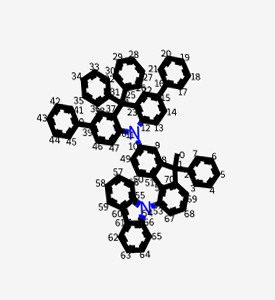 CC1(c2ccccc2)c2cc(N3c4ccc(-c5ccccc5)cc4C(c4ccccc4)(c4ccccc4)c4cc(-c5ccccc5)ccc43)ccc2-c2c(-n3c4ccccc4c4ccccc43)cccc21